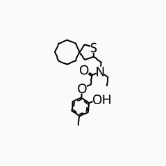 CCN(CC1CC2(CCCCCCC2)CS1)C(=O)COc1ccc(C)cc1O